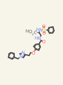 O=C(NC[C@H](NS(=O)(=O)c1ccccc1)C(=O)O)c1ccc(OCCc2cn(Cc3ccccc3)cn2)cc1